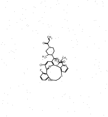 C=CC(=O)N1CCN(c2nc(=O)n3c4nc(c(Cl)cc24)-c2c(F)cccc2NCCSc2ccnc(C(C)C)c2-3)[C@@H](C)C1